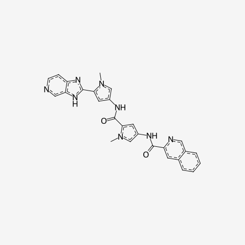 Cn1cc(NC(=O)c2cc3ccccc3cn2)cc1C(=O)Nc1cc(-c2nc3ccncc3[nH]2)n(C)c1